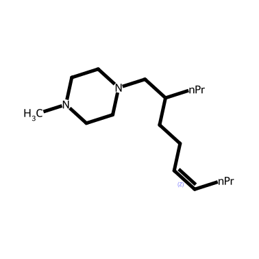 CCC/C=C\CCC(CCC)CN1CCN(C)CC1